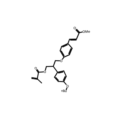 C=C(C)C(=O)OCC(COc1ccc(C=CC(=O)OC)cc1)c1ccc(OCCCC)cc1